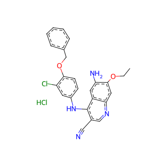 CCOc1cc2ncc(C#N)c(Nc3ccc(OCc4ccccc4)c(Cl)c3)c2cc1N.Cl